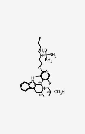 BC(B)(B)N(CCCF)CCOc1ncc(F)c([C@@H]2c3[nH]c4ccccc4c3C[C@H](C)N2C[C@@H](C)C(=O)O)c1C